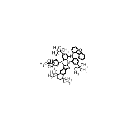 CC(C)(C)c1ccc(N2c3cc(C(C)(C)C)cc4c3B(c3cc(C(C)(C)C)ccc3N4c3cccc4oc5ccccc5c34)c3sc4cc5c(cc4c32)C(C)(C)CCC5(C)C)cc1